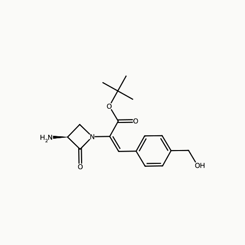 CC(C)(C)OC(=O)/C(=C\c1ccc(CO)cc1)N1C[C@H](N)C1=O